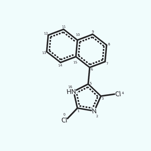 Clc1nc(Cl)c(-c2cccc3ccccc23)[nH]1